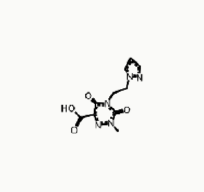 Cn1nc(C(=O)O)c(=O)n(CCn2cccn2)c1=O